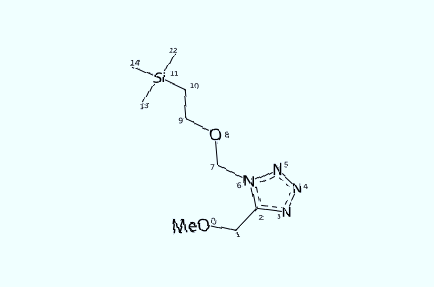 COCc1nnnn1COCC[Si](C)(C)C